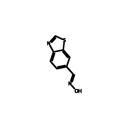 O/N=C/c1ccc2ncsc2c1